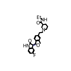 CCNC(=O)C1CCCN(CCc2ccc3c(c2)CO/C3=C2/C(=O)Nc3ccc(F)cc32)C1